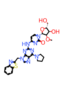 CO[C@@H]1[C@H](O)[C@@H](CO)O[C@H]1n1ccc(Nc2nc(N3CCCC3)c3ncn(Cc4nc5ccccc5s4)c3n2)nc1=O